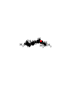 COc1cc2nccc(Oc3cccc(NC(=O)Nc4ccc(N5CCC(NC(=O)CN(C)C)CC5)c(C(F)(F)F)c4)c3)c2cc1OC